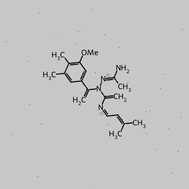 C=C(/N=C\C=C(C)C)N(/N=C(\C)N)C(=C)c1cc(C)c(C)c(OC)c1